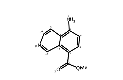 COC(=O)c1ccc(N)c2ccncc12